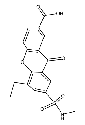 CCc1cc(S(=O)(=O)NC)cc2c(=O)c3cc(C(=O)O)ccc3oc12